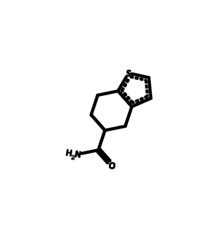 NC(=O)C1CCc2sccc2C1